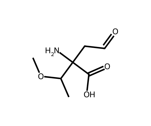 COC(C)C(N)(CC=O)C(=O)O